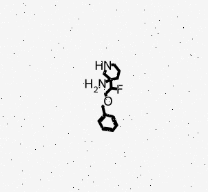 NC1(C(F)COCc2ccccc2)CCCNC1